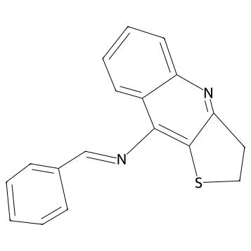 C(=Nc1c2c(nc3ccccc13)CCS2)c1ccccc1